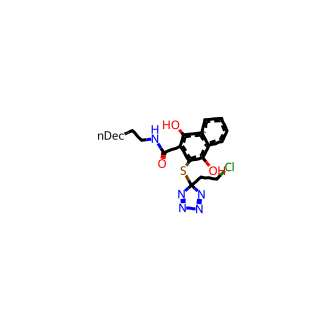 CCCCCCCCCCCCNC(=O)c1c(SC2(CCCl)N=NN=N2)c(O)c2ccccc2c1O